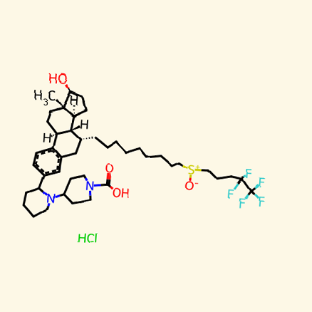 C[C@]12CC[C@@H]3c4ccc(C5CCCCN5C5CCN(C(=O)O)CC5)cc4C[C@@H](CCCCCCCCC[S+]([O-])CCCC(F)(F)C(F)(F)F)[C@H]3[C@@H]1CC[C@@H]2O.Cl